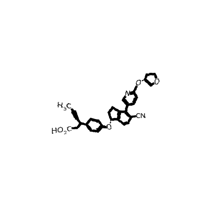 CC#CC(CC(=O)O)c1ccc(O[C@@H]2CCc3c2ccc(C#N)c3-c2ccc(O[C@@H]3CCOC3)nc2)cc1